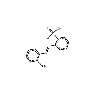 Nc1ccccc1/N=N/c1ccccc1P(=O)(O)O